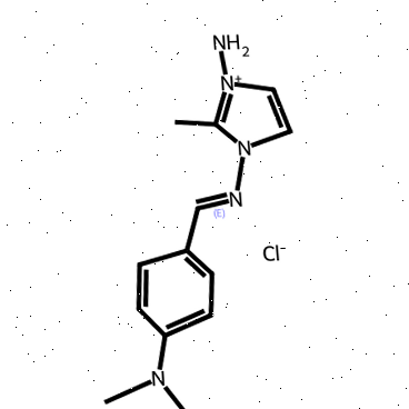 Cc1n(/N=C/c2ccc(N(C)C)cc2)cc[n+]1N.[Cl-]